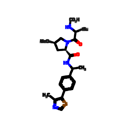 CO[C@@H]1C[C@@H](C(=O)NC(C)c2ccc(-c3scnc3C)cc2)N(C(=O)C(NC(=O)O)C(C)(C)C)C1